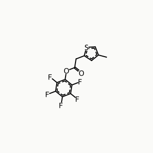 Cc1csc(CC(=O)Oc2c(F)c(F)c(F)c(F)c2F)c1